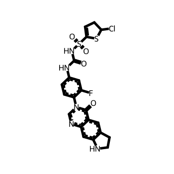 O=C(Nc1ccc(-n2cnc3cc4c(cc3c2=O)CCN4)c(F)c1)NS(=O)(=O)C1=CCC(Cl)S1